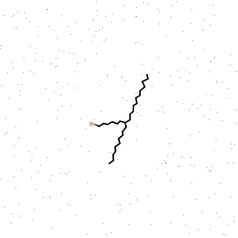 CCCCCCCCCCCCC(CCCCCCBr)CCCCCCCCCC